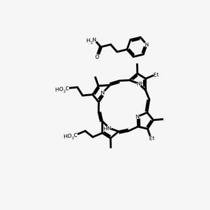 CCC1=C(C)c2cc3[nH]c(cc4nc(cc5[nH]c(cc1n2)c(C)c5CCC(=O)O)C(CCC(=O)O)=C4C)c(C)c3CC.NC(=O)CCc1ccncc1